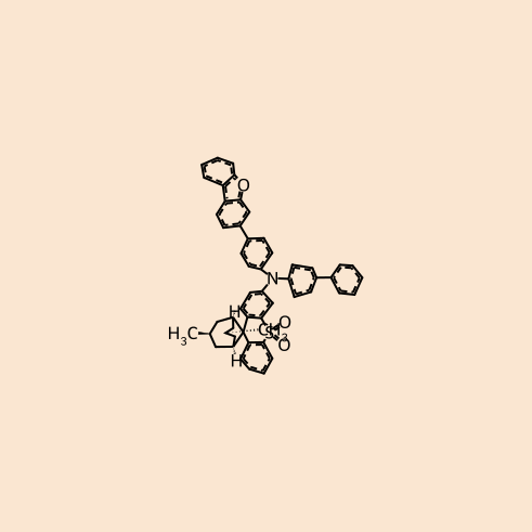 C[C@H]1C[C@@H]2C[C@@H](C)C[C@H](C1)C21c2ccccc2S(=O)(=O)c2cc(N(c3ccc(-c4ccccc4)cc3)c3ccc(-c4ccc5c(c4)oc4ccccc45)cc3)ccc21